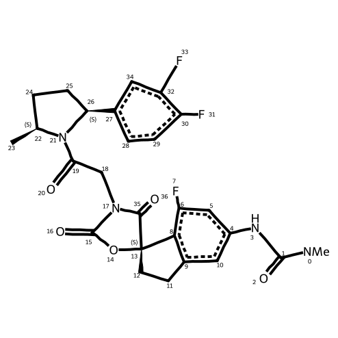 CNC(=O)Nc1cc(F)c2c(c1)CC[C@]21OC(=O)N(CC(=O)N2[C@@H](C)CC[C@H]2c2ccc(F)c(F)c2)C1=O